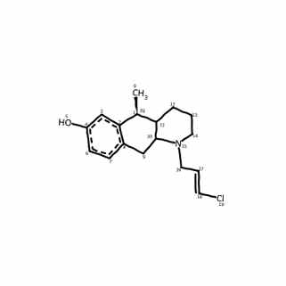 C[C@@H]1c2cc(O)ccc2CC2C1CCCN2CC=CCl